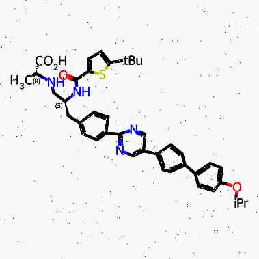 CC(C)Oc1ccc(-c2ccc(-c3cnc(-c4ccc(C[C@@H](CN[C@H](C)C(=O)O)NC(=O)c5ccc(C(C)(C)C)s5)cc4)nc3)cc2)cc1